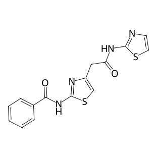 O=C(Cc1csc(NC(=O)c2ccccc2)n1)Nc1nccs1